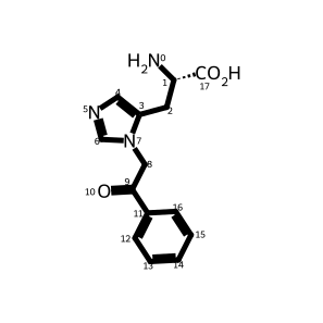 N[C@@H](Cc1cncn1CC(=O)c1ccccc1)C(=O)O